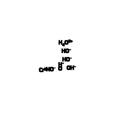 [Cr+3].[OH-].[OH-].[OH-].[OH-].[OH-].[OH4+2]